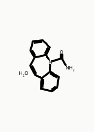 NC(=O)N1c2ccccc2C=Cc2ccccc21.O